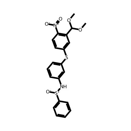 COC(OC)c1cc(Sc2cccc(N[S+]([O-])c3ccccc3)c2)ccc1[N+](=O)[O-]